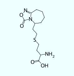 NC(CCSCCC1CCCCc2noc(=O)n21)C(=O)O